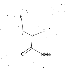 CNC(=O)C(F)CF